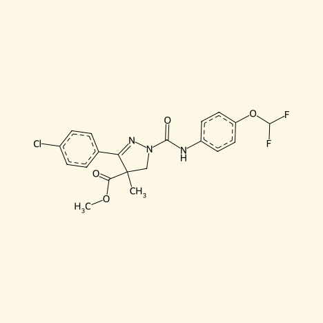 COC(=O)C1(C)CN(C(=O)Nc2ccc(OC(F)F)cc2)N=C1c1ccc(Cl)cc1